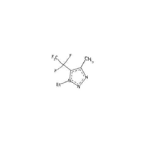 CCn1nnc(C)c1C(F)(F)C(F)(F)F